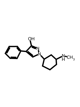 CNC1CCCC(n2cc(-c3ccccc3)c(O)n2)C1